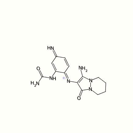 N=C1C=C/C(=N\c2c(N)n3n(c2=O)CCCC3)C(NC(N)=O)=C1